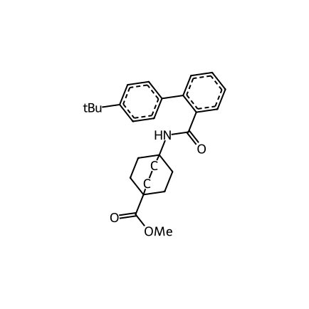 COC(=O)C12CCC(NC(=O)c3ccccc3-c3ccc(C(C)(C)C)cc3)(CC1)CC2